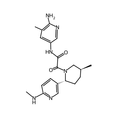 CNc1ccc([C@H]2CC[C@H](C)CN2C(=O)C(=O)Nc2cnc(N)c(C)c2)cn1